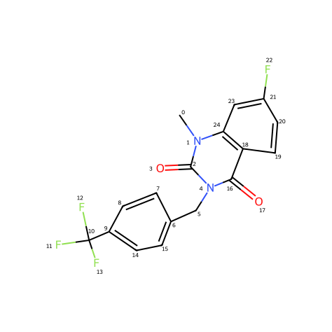 Cn1c(=O)n(Cc2ccc(C(F)(F)F)cc2)c(=O)c2ccc(F)cc21